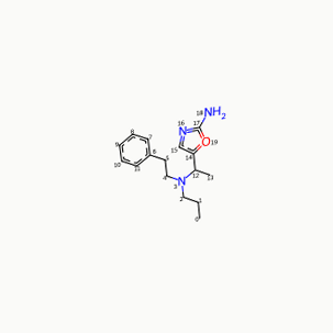 CCCN(CCc1ccccc1)C(C)c1cnc(N)o1